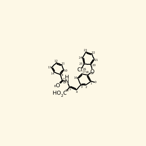 Cc1cc(C=C(NC(=O)c2ccccc2)C(=O)O)ccc1Oc1ccccc1Cl